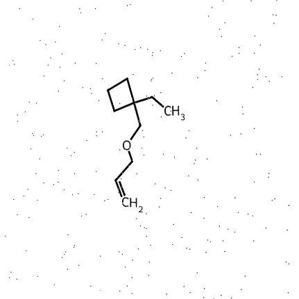 C=CCOCC1(CC)CCC1